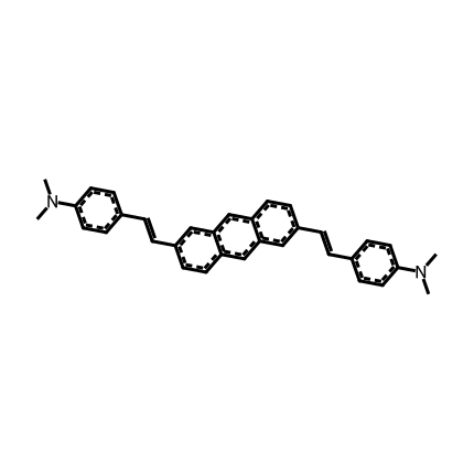 CN(C)c1ccc(C=Cc2ccc3cc4cc(C=Cc5ccc(N(C)C)cc5)ccc4cc3c2)cc1